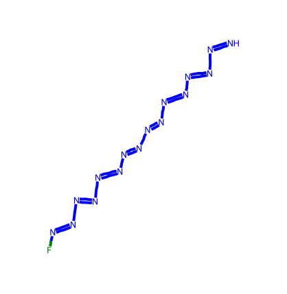 N=N/N=N/N=N/N=N/N=N/N=N/N=N/N=N/F